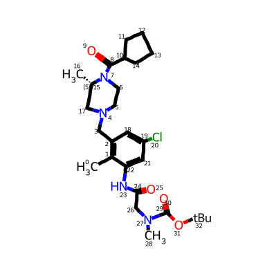 Cc1c(CN2CCN(C(=O)C3CCCC3)[C@@H](C)C2)cc(Cl)cc1NC(=O)CN(C)C(=O)OC(C)(C)C